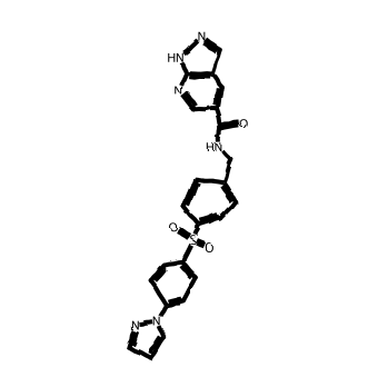 O=C(NCc1ccc(S(=O)(=O)c2ccc(-n3cccn3)cc2)cc1)c1cnc2[nH]ncc2c1